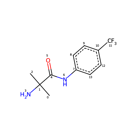 CC(C)(N)C(=O)Nc1ccc(C(F)(F)F)cc1